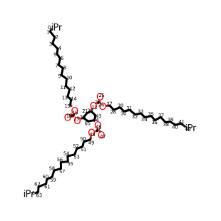 CC(C)CCCCCCCCCCCCCCCOC(=O)OC1CC(OC(=O)OCCCCCCCCCCCCCCCC(C)C)CC(OC(=O)OCCCCCCCCCCCCCCCC(C)C)C1